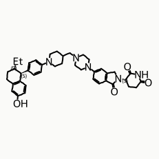 CC[C@@H]1CCc2cc(O)ccc2[C@@H]1c1ccc(N2CCC(CN3CCN(c4ccc5c(c4)CN([C@H]4CCC(=O)NC4=O)C5=O)CC3)CC2)cc1